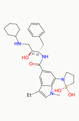 CCc1cn(C)c2c(N3CCCS3(O)O)cc(C(=O)N[C@@H](Cc3ccccc3)[C@@H](O)CNC3CCCCC3)cc12